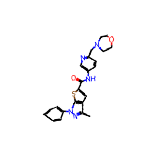 Cc1nn(-c2ccccc2)c2sc(C(=O)Nc3ccc(CN4CCOCC4)nc3)cc12